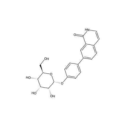 O=c1[nH]ccc2ccc(-c3ccc(O[C@H]4O[C@H](CO)[C@@H](O)[C@@H](O)[C@H]4O)cc3)cc12